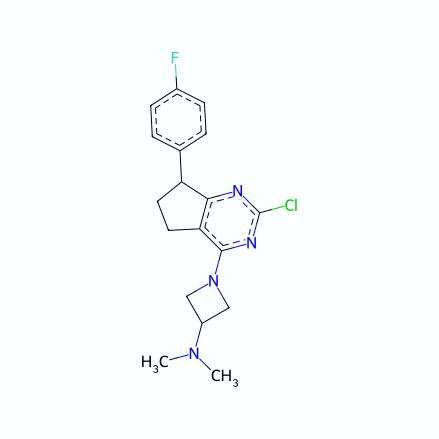 CN(C)C1CN(c2nc(Cl)nc3c2CCC3c2ccc(F)cc2)C1